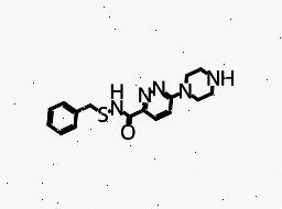 O=C(NSCc1ccccc1)c1ccc(N2CCNCC2)nn1